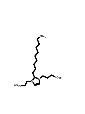 CCCCCCCCCCCCCCCCCCCC1N(CCCCCCCCCCCC)C=CN1CCCCCCCCCCCCC